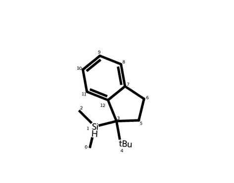 C[SiH](C)C1(C(C)(C)C)CCc2ccccc21